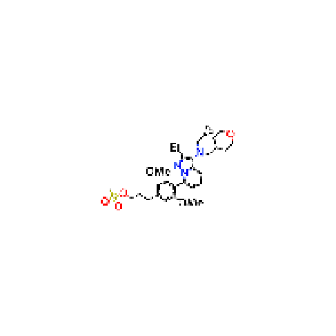 CCc1nn2c(-c3c(OC)cc(CCCOS(C)(=O)=O)cc3OC)cccc2c1N(CC1CCOCC1)CC1CC1